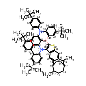 Cc1cc2c3c(c1)N(c1ccc([Si](C)(C)C)cc1-c1ccc(C(C)(C)C)cc1)c1c(sc4cc5c(cc14)C1CCC(CCC1C)C5C)B3c1cc(C(C)(C)C)ccc1N2c1ccc(C(C)(C)C)cc1